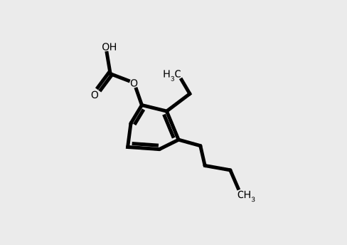 CCCCc1cccc(OC(=O)O)c1CC